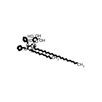 CCCCCCCCCCCC=CC[C@@H](OCc1ccccc1)[C@@H](OCc1ccccc1)[C@H](CO[C@H]1O[C@H](CO)[C@H](O)[C@H](O)[C@H]1O)NC(=O)CCCCCCCCCCCCCCCCCCCCCCCCC